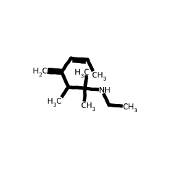 C=C(/C=C\C)C(C)C(C)(C)NCC